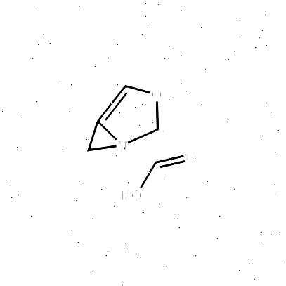 C1=C2CN2CO1.O=CO